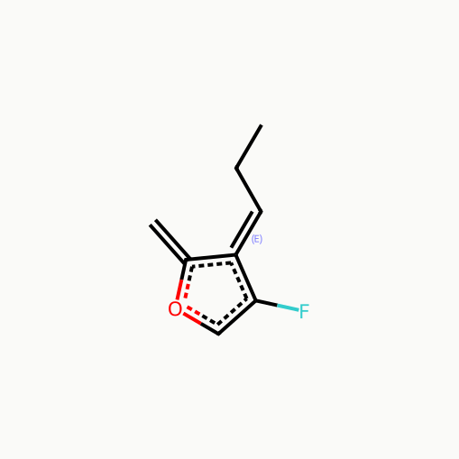 C=c1occ(F)/c1=C/CC